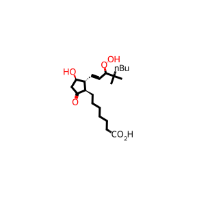 CCCCC(C)(C)C(C=C[C@H]1[C@H](O)CC(=O)[C@@H]1CCCCCCC(=O)O)OO